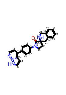 O=C1N(c2ccc(-c3ccn[n+]4[nH]ccc34)cc2)CCC12Cc1ccccc1CN2